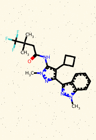 Cn1nc(-c2nn(C)c3ccccc23)c(C2CCC2)c1NC(=O)CC(C)(C)C(F)(F)F